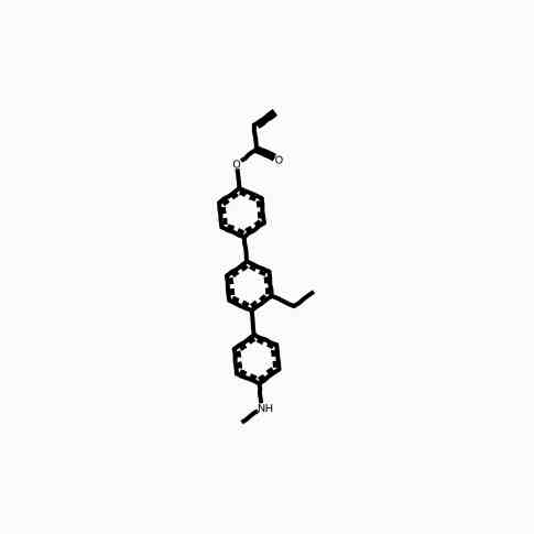 C=CC(=O)Oc1ccc(-c2ccc(-c3ccc(NC)cc3)c(CC)c2)cc1